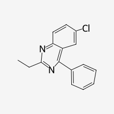 CCc1nc(-c2ccccc2)c2cc(Cl)ccc2n1